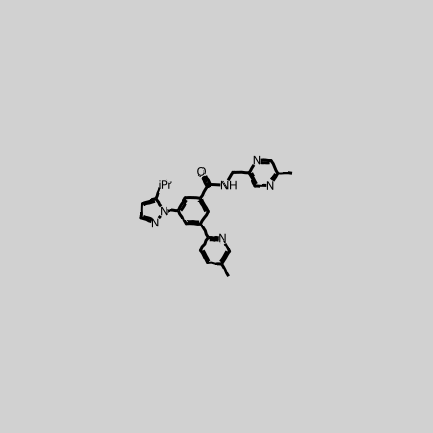 Cc1ccc(-c2cc(C(=O)NCc3cnc(C)cn3)cc(-n3nccc3C(C)C)c2)nc1